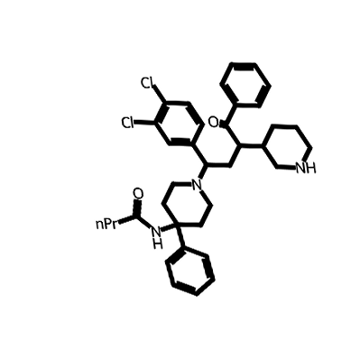 CCCC(=O)NC1(c2ccccc2)CCN(C(CC(C(=O)c2ccccc2)C2CCCNC2)c2ccc(Cl)c(Cl)c2)CC1